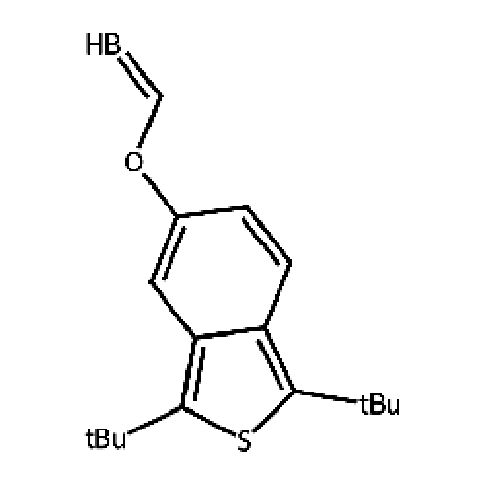 B=COc1ccc2c(C(C)(C)C)sc(C(C)(C)C)c2c1